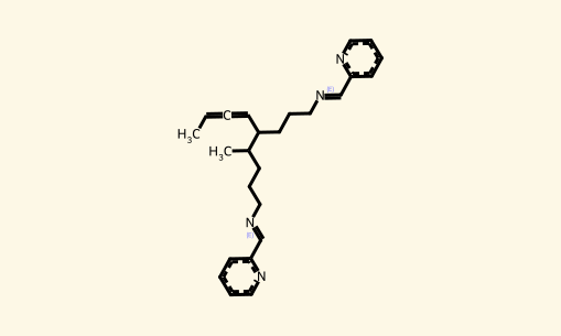 CC=C=CC(CCC/N=C/c1ccccn1)C(C)CCC/N=C/c1ccccn1